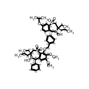 CCC[C@]1(CC)CS(=O)(=O)c2cc(OC(C)C)ccc2[C@@H](c2ccc(COc3c(OC)c(OC)cc4c3S(=O)(=O)C[C@@](CC)(CCC)N(O)[C@@H]4c3ccccc3)cc2)N1O